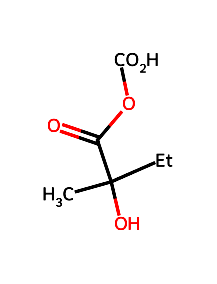 CCC(C)(O)C(=O)OC(=O)O